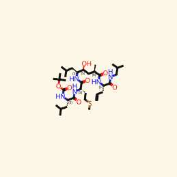 C=CC[C@H](NC(=O)[C@H](C)C[C@H](O)[C@H](CC(C)C)NC(=O)[C@H](CCSC)NC(=O)[C@H](CC(C)C)NC(=O)OC(C)(C)C)C(=O)NCC(C)C